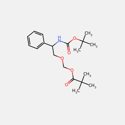 CC(C)(C)OC(=O)NC(COCOC(=O)C(C)(C)C)c1ccccc1